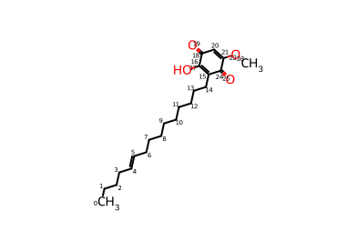 CCCCC=CCCCCCCCCCC1=C(O)C(=O)C=C(OC)C1=O